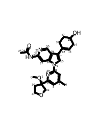 COC1(c2cc(C)cc(-n3cc(C4=CCC(O)CC4)c4cnc(NC(C)=O)cc43)n2)CCOC1